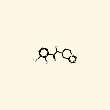 CCC(C(=O)c1cccc(C(F)(F)F)c1Cl)N1CCn2cnnc2C1